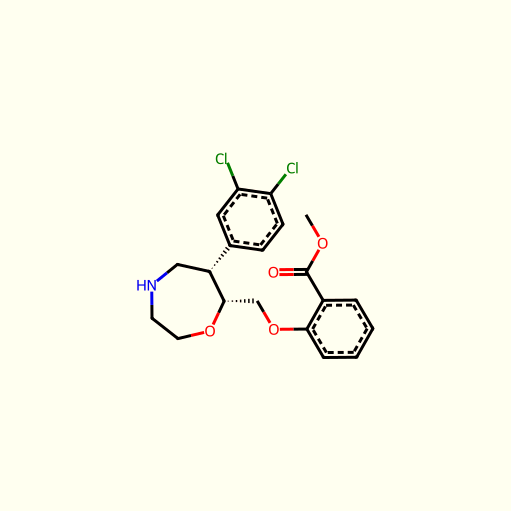 COC(=O)c1ccccc1OC[C@@H]1OCCNC[C@@H]1c1ccc(Cl)c(Cl)c1